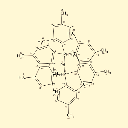 Cc1ccc([PH]([Pd][PH](c2ccc(C)cc2C)(c2ccc(C)cc2C)c2ccc(C)cc2C)(c2ccc(C)cc2C)c2ccc(C)cc2C)c(C)c1